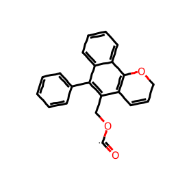 O=[C]OCc1c2c(c3ccccc3c1-c1ccccc1)OCC=C2